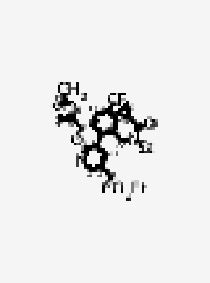 CCOC(=O)Cc1cnc(OCc2csc(C)n2)c(-c2ccc(C(F)(F)F)cc2CN(CC)C(=O)C2CC2)c1